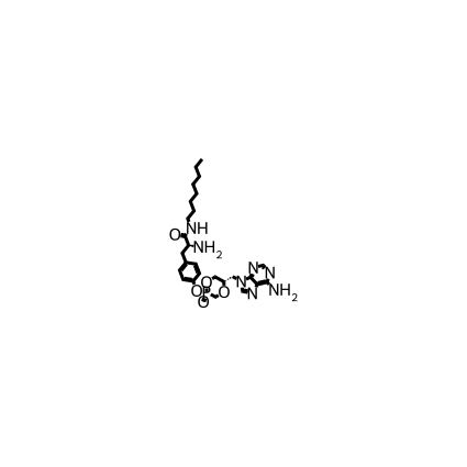 CCCCCCCCNC(=O)[C@@H](N)Cc1ccc(OP2(=O)CO[C@@H](Cn3cnc4c(N)ncnc43)CO2)cc1